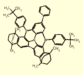 CC(C)(C)c1ccc(B2c3cc(-c4ccccc4)cc4c3-n3c5c2c2c(cc5c5cc6c(c(c53)B4c3ccc(C(C)(C)C)cc3)C3(C)CCC6(C)CC3)C3(C)CCC2(C)CC3)cc1